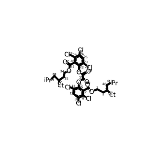 CCC(CCOC(=O)c1c(Cl)c(Cl)cc(Cl)c1OC(=O)C(=O)Oc1c(Cl)cc(Cl)c(Cl)c1C(=O)OCCC(CC)CC(C)C)CC(C)C